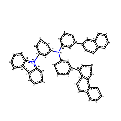 c1cc(-c2ccc3ccccc3c2)cc(N(c2cccc(-c3cccc4c3ccc3ccccc34)c2)c2cccc(-n3c4ccccc4c4ccccc43)c2)c1